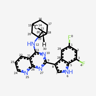 Fc1cc(F)c2[nH]cc(-c3nc(N[C@@H]4CC5CCC4CC5)c4cccnc4n3)c2c1